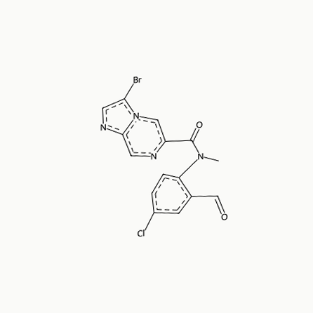 CN(C(=O)c1cn2c(Br)cnc2cn1)c1ccc(Cl)cc1C=O